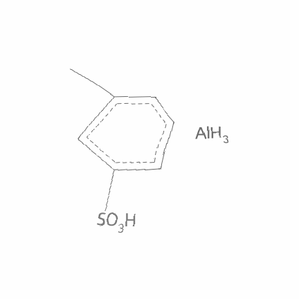 Cc1cccc(S(=O)(=O)O)c1.[AlH3]